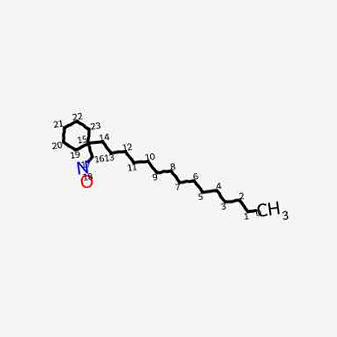 CCCCCCCCCCCCCCCC1(CN=O)CCCCC1